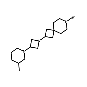 CC1CCCN(C2CN(C3CC4(CCN(C(C)C)CC4)C3)C2)C1